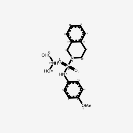 COc1ccc(NS(=O)(=O)N2CCc3ccccc3C2)cc1.O=CNO